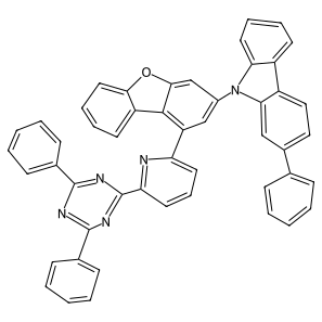 c1ccc(-c2ccc3c4ccccc4n(-c4cc(-c5cccc(-c6nc(-c7ccccc7)nc(-c7ccccc7)n6)n5)c5c(c4)oc4ccccc45)c3c2)cc1